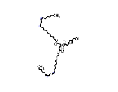 CCCCC/C=C\C/C=C\CCCCCCCCOC(=O)CC(CC(=O)OCCCCCCCC/C=C\C/C=C\CCCCC)NC(=O)CN1CC(CO)C1